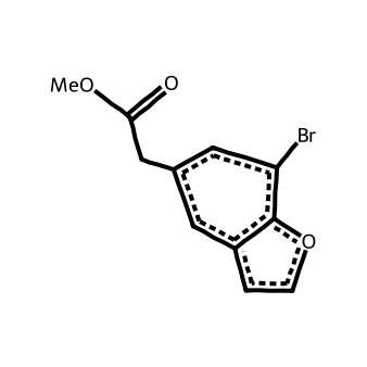 COC(=O)Cc1cc(Br)c2occc2c1